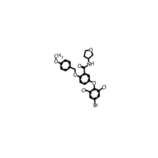 COc1ccc(COc2ccc(Oc3c(Cl)cc(Br)cc3Cl)cc2C(=O)NC2CCOC2)cc1